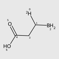 [2H]C(B)CC(=O)O